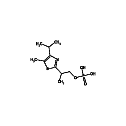 Cc1sc(C(C)COP(=O)(O)O)nc1C(C)C